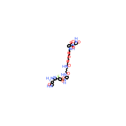 Nc1ncc(-c2ccc(S(=O)(=O)Nc3cccc(NC(=O)CCCCNC(=O)CCOCCOCCOCCNc4cccc5c4C(=O)N(C4CCC(=O)NC4=O)C5=O)c3)cc2F)cc1-c1ccc2c(c1)CCNC2=O